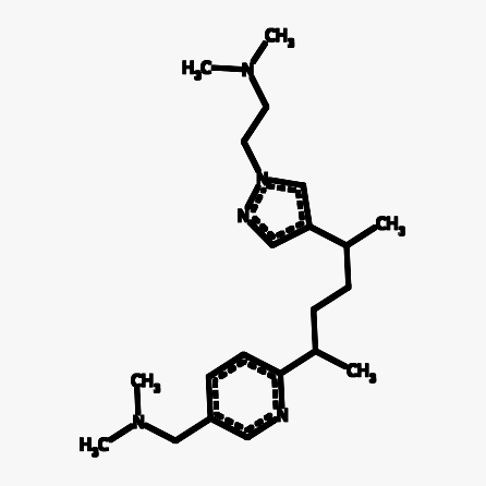 CC(CCC(C)c1ccc(CN(C)C)cn1)c1cnn(CCN(C)C)c1